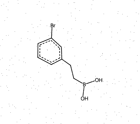 OB(O)CCc1cccc(Br)c1